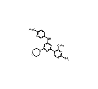 COc1ccc(Nc2cc(N3CCOCC3)nc(-c3cnc(N)nc3OC)n2)cn1